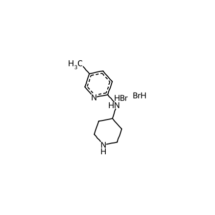 Br.Br.Cc1ccc(NC2CCNCC2)nc1